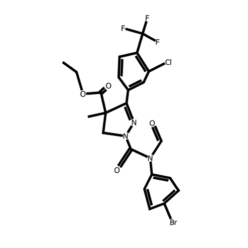 CCOC(=O)C1(C)CN(C(=O)N(C=O)c2ccc(Br)cc2)N=C1c1ccc(C(F)(F)F)c(Cl)c1